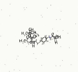 CC(C)C[C@H](NCCc1ccc(/C=C/C(=O)NO)cc1)C(=O)OC(C)(C)C